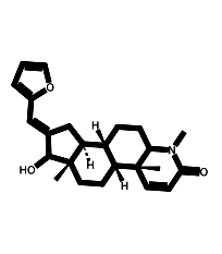 CN1C(=O)C=C[C@@]2(C)C1CC[C@@H]1[C@H]2CC[C@]2(C)C(O)C(=Cc3ccco3)C[C@@H]12